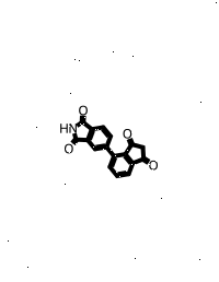 O=C1NC(=O)c2cc(-c3cccc4c3C(=O)CC4=O)ccc21